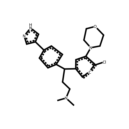 CN(C)CCC(c1ccc(-c2cn[nH]c2)cc1)c1ccc(Cl)c(N2CCOCC2)c1